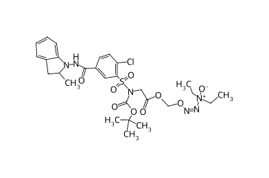 CC[N+]([O-])(CC)/N=N\OCOC(=O)CN(C(=O)OC(C)(C)C)S(=O)(=O)c1cc(C(=O)NN2c3ccccc3CC2C)ccc1Cl